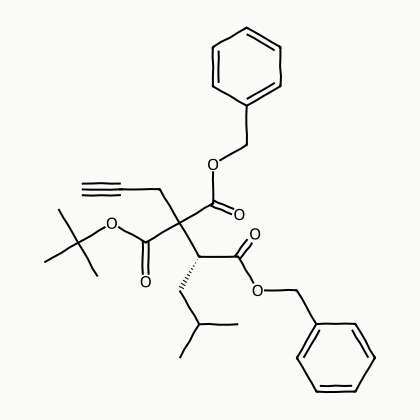 C#CCC(C(=O)OCc1ccccc1)(C(=O)OC(C)(C)C)[C@@H](CC(C)C)C(=O)OCc1ccccc1